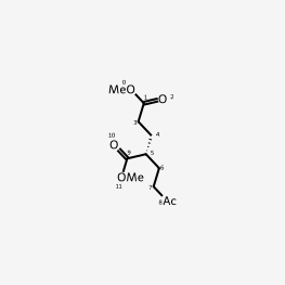 COC(=O)CC[C@H](CCC(C)=O)C(=O)OC